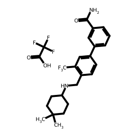 CC1(C)CCC(NCc2ccc(-c3cccc(C(N)=O)c3)cc2C(F)(F)F)CC1.O=C(O)C(F)(F)F